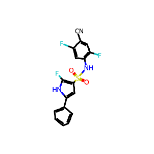 N#Cc1cc(F)c(NS(=O)(=O)c2cc(-c3ccccc3)[nH]c2F)cc1F